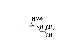 C=C(C)CN/C=C\NC